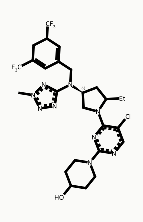 CCC1C[C@H](N(CC2=CC(C(F)(F)F)CC(C(F)(F)F)=C2)c2nnn(C)n2)CN1c1nc(N2CCC(O)CC2)ncc1Cl